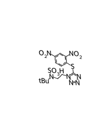 CC(C)(C)N(CCn1nnnc1Sc1ccc([N+](=O)[O-])cc1[N+](=O)[O-])S(=O)(=O)O